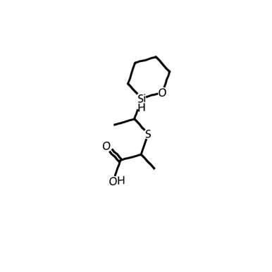 CC(SC(C)[SiH]1CCCCO1)C(=O)O